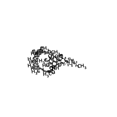 CCCN1CCN(c2cc(=O)c3nc4c(oc3c2)c2c(=O)c3c(O)c(C)c5c(c34)=C(O)[C@@](C)(O/C=C/[C@H](OC)[C@@H](C)[C@@H](OC(C)=O)[C@H](C)[C@H](O)[C@H](C)[C@@H](O)[C@@H](C)/C=C/C=C(/C)C(=O)N2)O5)CC1